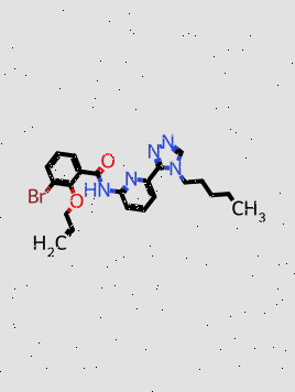 C=CCOc1c(Br)cccc1C(=O)Nc1cccc(-c2nncn2CCCCC)n1